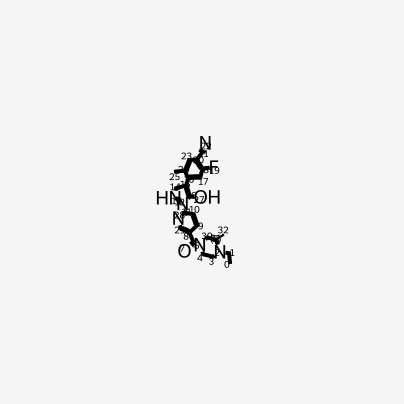 CCN1CCN(C(=O)c2ccc(N3NCC(c4cc(F)c(C#N)cc4C)=C3O)nc2)C[C@H]1C